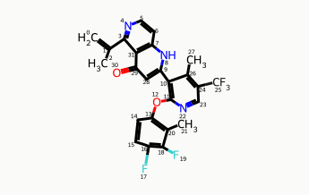 C=C(C)c1nccc2[nH]c(-c3c(Oc4ccc(F)c(F)c4C)ncc(C(F)(F)F)c3C)cc(=O)c12